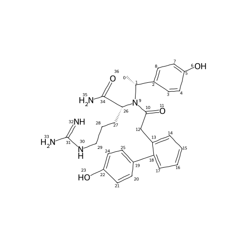 C[C@H](c1ccc(O)cc1)N(C(=O)Cc1ccccc1-c1ccc(O)cc1)[C@H](CCCNC(=N)N)C(N)=O